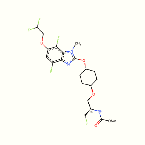 COC(=O)N[C@@H](CF)CO[C@H]1CC[C@H](Oc2nc3c(F)cc(OCC(F)F)c(F)c3n2C)CC1